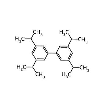 CC(C)c1[c]c(-c2[c]c(C(C)C)cc(C(C)C)c2)cc(C(C)C)c1